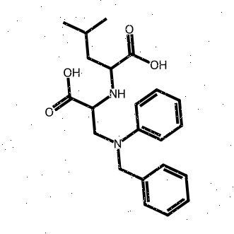 CC(C)CC(NC(CN(Cc1ccccc1)c1ccccc1)C(=O)O)C(=O)O